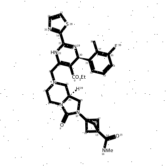 CCOC(=O)C1=C(CN2CCN3C(=O)N(C45CC(C(=O)NC)(C4)C5)C[C@@H]3C2)NC(c2nccs2)=N[C@H]1c1cccc(F)c1C